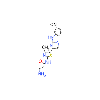 Cc1nc(NC(=O)CCN)sc1-c1ccnc(Nc2cccc(N=O)c2)n1